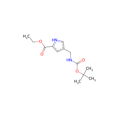 CCOC(=O)c1cc(CNC(=O)OC(C)(C)C)c[nH]1